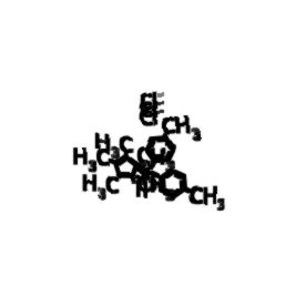 CC1=C(C)C(C)([Si](C)(c2ccc(C)cc2)c2ccc(C)cc2)[C]([Ti+3])=C1C.[Cl-].[Cl-].[Cl-]